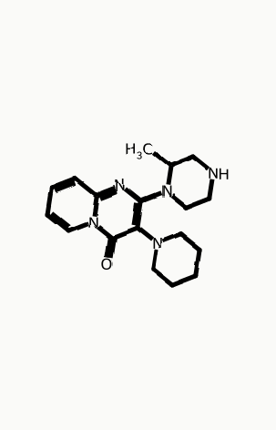 CC1CNCCN1c1nc2ccccn2c(=O)c1N1CCCCC1